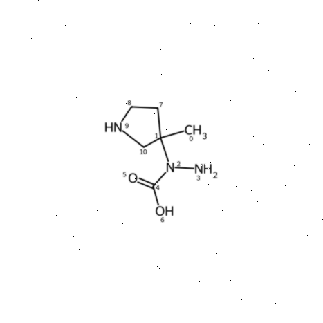 CC1(N(N)C(=O)O)CCNC1